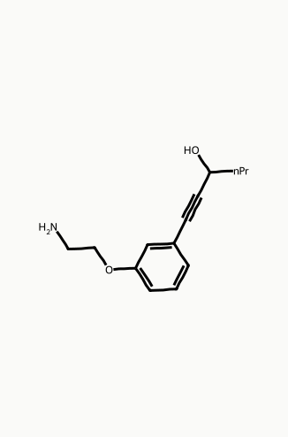 CCCC(O)C#Cc1cccc(OCCN)c1